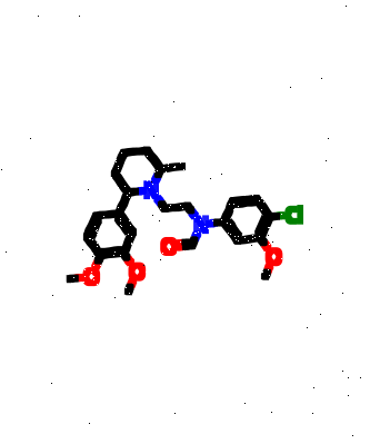 COc1cc(N(C=O)CCN2C(C)CCCC2c2ccc(OC)c(OC)c2)ccc1Cl